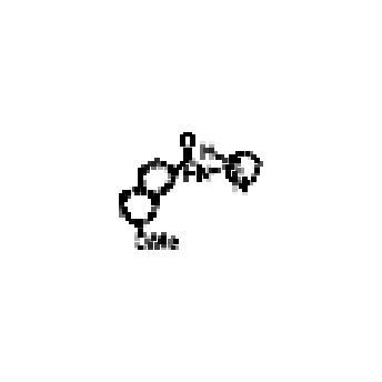 COc1ccc2ccc(C(=O)N[C@@H]3CC4CCN(CC4)C3)cc2c1